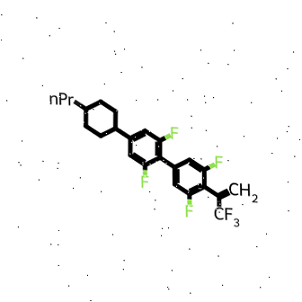 C=C(c1c(F)cc(-c2c(F)cc(C3CCC(CCC)CC3)cc2F)cc1F)C(F)(F)F